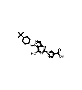 CC(C)(C)[C@H]1CC[C@H](Cn2ncc3nc(-n4cc(C(=O)O)cn4)nc(O)c32)CC1